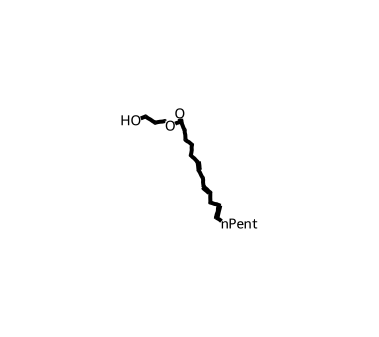 CCCCCC=CCC=CCC=CCCCCC(=O)OCCCO